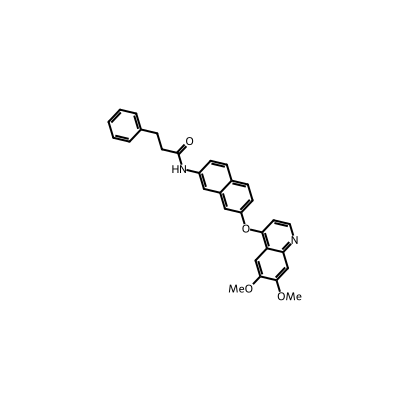 COc1cc2nccc(Oc3ccc4ccc(NC(=O)CCc5ccccc5)cc4c3)c2cc1OC